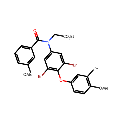 CCOC(=O)CN(C(=O)c1cccc(OC)c1)c1cc(Br)c(Oc2ccc(OC)c(C(C)C)c2)c(Br)c1